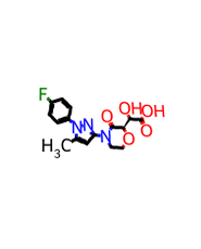 Cc1cc(N2CCO[C@H](C(O)C(=O)O)C2=O)nn1-c1ccc(F)cc1